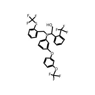 OCC(c1ccccc1C(F)(F)F)N(Cc1ccccc1SC(F)(F)F)c1cccc(Oc2cccc(OC(F)(F)F)c2)c1